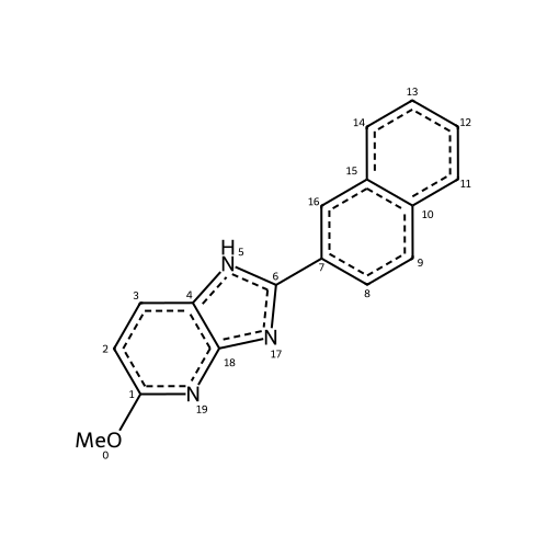 COc1ccc2[nH]c(-c3ccc4ccccc4c3)nc2n1